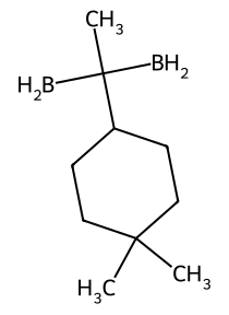 BC(B)(C)C1CCC(C)(C)CC1